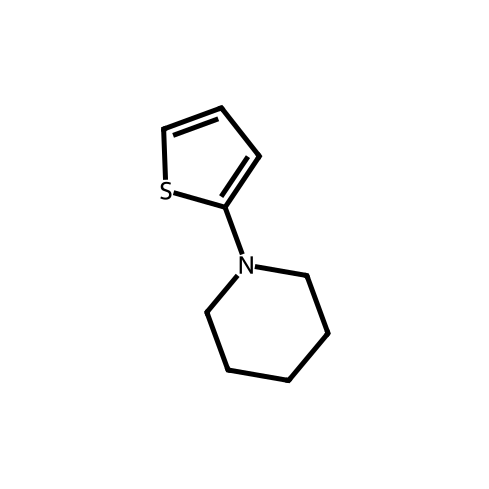 c1csc(N2CCCCC2)c1